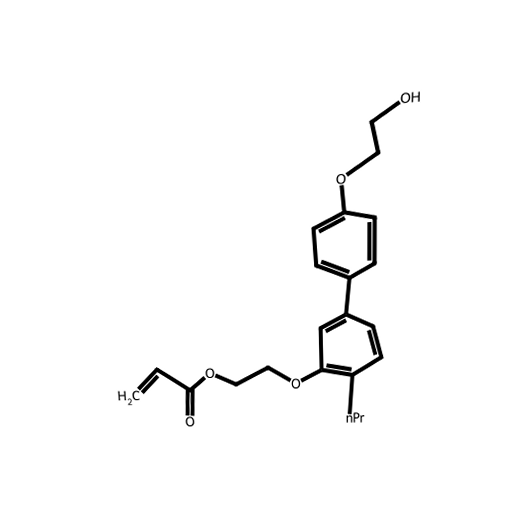 C=CC(=O)OCCOc1cc(-c2ccc(OCCO)cc2)ccc1CCC